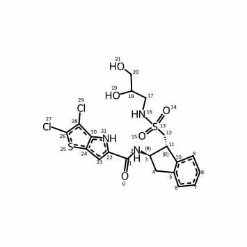 O=C(N[C@@H]1Cc2ccccc2[C@H]1CS(=O)(=O)NCC(O)CO)c1cc2sc(Cl)c(Cl)c2[nH]1